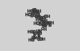 O=C(O)CCC[C@H](NC(=O)[C@H](CCC(=O)O)NC(=O)[C@H]1CC[C@H](CNC(=O)CN2CCN(CC(=O)O)CCN(CC(=O)O)CCN(CC(=O)O)CC2)CC1)C(=O)N[C@@H](CCC(=O)O)C(=O)NC(Cc1ccc2ccccc2c1)C(=O)NCCCC[C@H](NC(=O)N[C@@H](CCC(=O)O)C(=O)O)C(=O)O